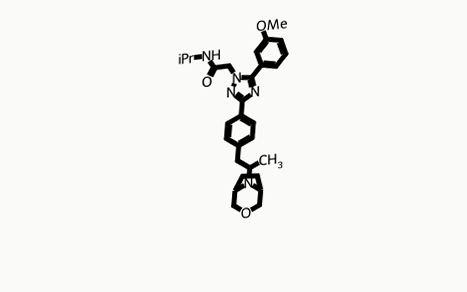 COc1cccc(-c2nc(-c3ccc(CC(C)N4C5CCC4COC5)cc3)nn2CC(=O)NC(C)C)c1